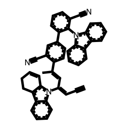 C#C/C=C(\C=C(/C)c1ccc(-c2cccc(C#N)c2-n2c3ccccc3c3ccccc32)cc1C#N)n1c2c(c3ccccc31)CCC=C2